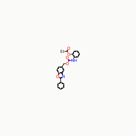 CCC(=O)Oc1ccccc1NC(=O)OCc1ccc2oc(-c3ccccc3)nc2c1